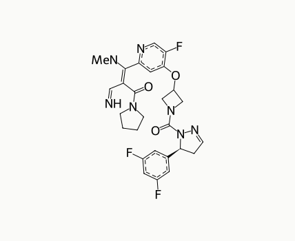 CN/C(=C(\C=N)C(=O)N1CCCC1)c1cc(OC2CN(C(=O)N3N=CC[C@H]3c3cc(F)cc(F)c3)C2)c(F)cn1